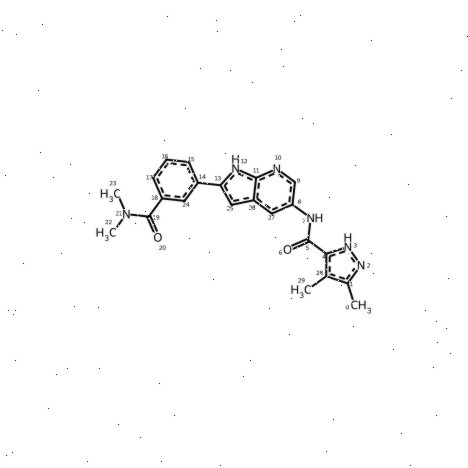 Cc1n[nH]c(C(=O)Nc2cnc3[nH]c(-c4cccc(C(=O)N(C)C)c4)cc3c2)c1C